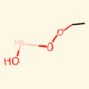 COOBO